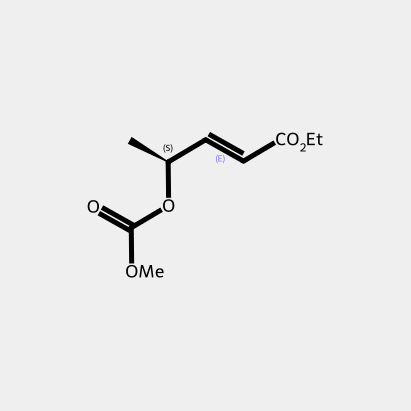 CCOC(=O)/C=C/[C@H](C)OC(=O)OC